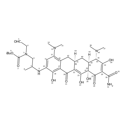 CC(C)COC(=O)N(CC=O)CC(C)Nc1cc(N(C)C)c2c(c1O)C(=O)C1=C(O)[C@]3(O)C(=O)C(C(N)=O)=C(O)[C@@H](N(C)C)[C@@H]3C[C@@H]1C2